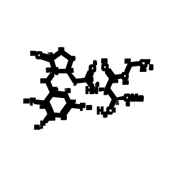 CO[C@H](C)[C@H](NC(=O)C[C@@H]1CCC(=O)N1Cc1cc(F)cc(F)c1F)C(=O)OCC(F)(F)F